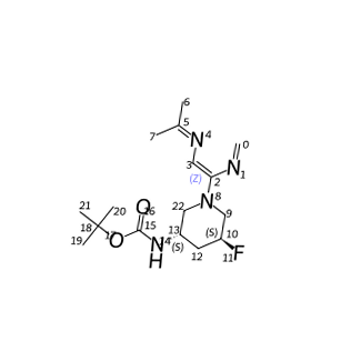 C=N/C(=C\N=C(C)C)N1C[C@@H](F)C[C@H](NC(=O)OC(C)(C)C)C1